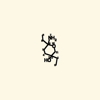 CCC1(O)CCC(N)(CC)OC1